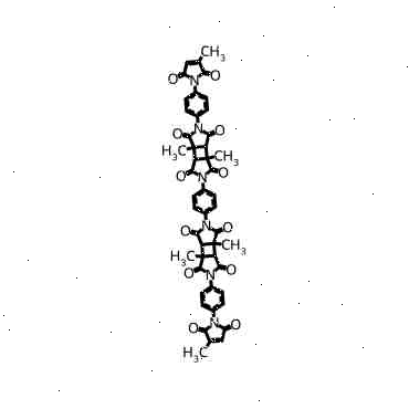 CC1=CC(=O)N(c2ccc(N3C(=O)C4C(C)(C3=O)C3C(=O)N(c5ccc(N6C(=O)C7C8(C)C(=O)N(c9ccc(N%10C(=O)C=C(C)C%10=O)cc9)C(=O)C8C7(C)C6=O)cc5)C(=O)C43C)cc2)C1=O